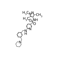 Cc1nn(C)c(C)c1NS(=O)(=O)c1ccc(NCc2cccc(CN3CCCCC3)c2)nc1